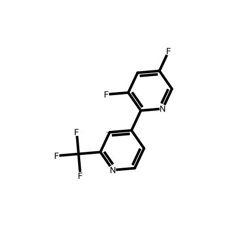 Fc1cnc(-c2[c]c(C(F)(F)F)ncc2)c(F)c1